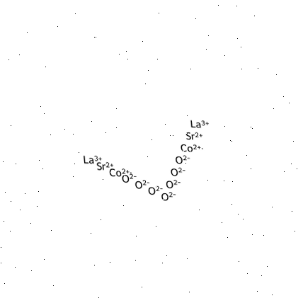 [Co+2].[Co+2].[La+3].[La+3].[O-2].[O-2].[O-2].[O-2].[O-2].[O-2].[O-2].[Sr+2].[Sr+2]